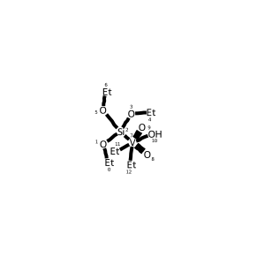 CCO[Si](OCC)(OCC)[V](=[O])(=[O])([OH])([CH2]C)[CH2]C